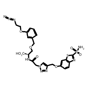 [N-]=[N+]=NCCOc1cccc(COC[C@@H](NC(=O)Cn2cc(COc3ccc4nc(S(N)(=O)=O)sc4c3)nn2)C(=O)O)c1